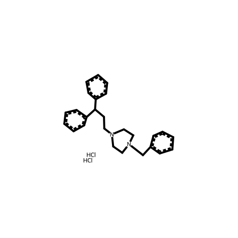 Cl.Cl.c1ccc(CN2CCN(CCC(c3ccccc3)c3ccccc3)CC2)cc1